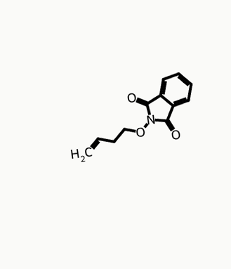 C=CCCON1C(=O)c2ccccc2C1=O